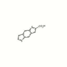 O=C(O)c1cc2cc3sccc3cc2s1